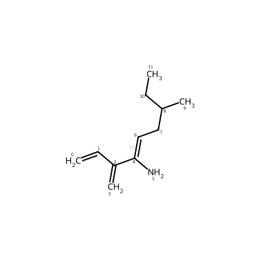 C=CC(=C)/C(N)=C/CC(C)CC